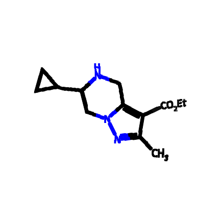 CCOC(=O)c1c(C)nn2c1CNC(C1CC1)C2